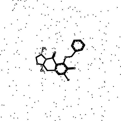 C[C@H]1CO[C@]2(C)Cn3cc(Br)c(=O)c(OCc4ccccc4)c3C(=O)N12